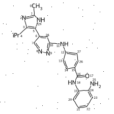 Cc1nc(C(C)C)c(-c2cnnc(Nc3ccc(C(=O)Nc4ccccc4N)cc3)c2)[nH]1